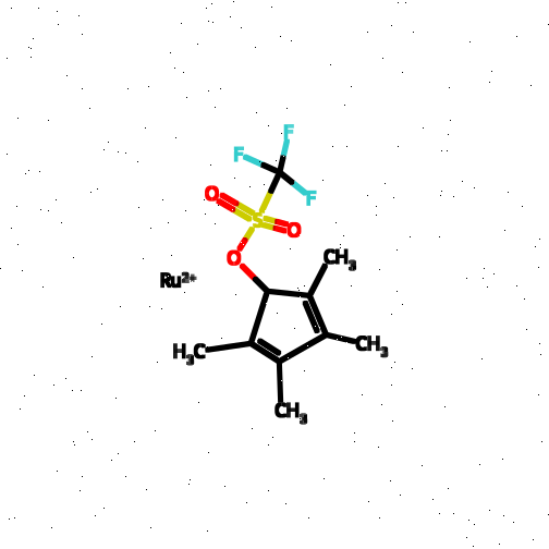 CC1=C(C)C(OS(=O)(=O)C(F)(F)F)C(C)=C1C.[Ru+2]